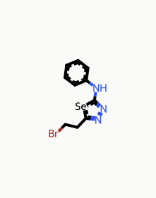 BrCCc1nnc(Nc2ccccc2)[se]1